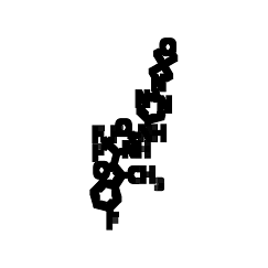 Cc1c(C(NC(=O)Nc2cnc(N3CC4(COC4)C3)nc2)C(F)(F)F)oc2ccc(F)cc12